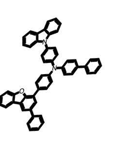 c1ccc(-c2ccc(N(c3ccc(-c4cc(-c5ccccc5)cc5c4oc4ccccc45)cc3)c3ccc(-n4c5ccccc5c5ccccc54)cc3)cc2)cc1